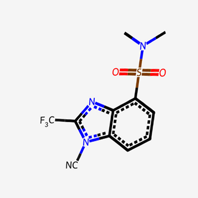 CN(C)S(=O)(=O)c1cccc2c1nc(C(F)(F)F)n2C#N